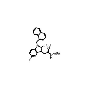 CCCCNC(=O)CC1c2cc(F)ccc2N(Cc2cccc3ccccc23)C1C(=O)O